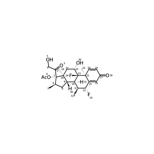 CC(=O)O[C@@]1(C(=O)CO)[C@H](C)C[C@H]2[C@@H]3[C@H](I)[C@@H](F)C4=CC(=O)C=C[C@]4(C)[C@@]3(F)[C@@H](O)C[C@@]21C